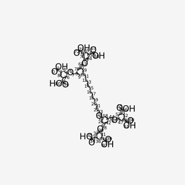 O=C(O)c1cc(OCc2cc(CCC=CCCC=CCCC=CCOc3cc(COc4cc(C(=O)O)cc(C(=O)O)c4)cc(COc4cc(C(=O)O)cc(C(=O)O)c4)c3)cc(COc3cc(C(=O)O)cc(C(=O)O)c3)c2)cc(C(=O)O)c1